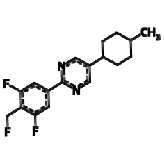 CC1CCC(c2cnc(-c3cc(F)c(CF)c(F)c3)nc2)CC1